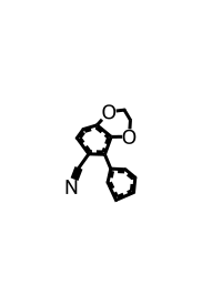 N#Cc1ccc2c(c1-c1ccccc1)OCCO2